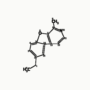 CCc1ccc2oc3c(C)nccc3c2c1